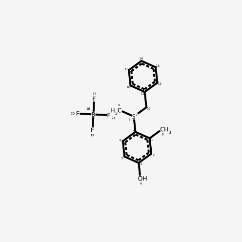 Cc1cc(O)ccc1[S+](C)Cc1ccccc1.F[B-](F)(F)F